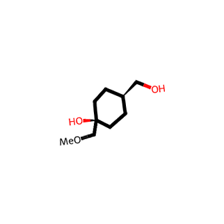 COC[C@]1(O)CC[C@@H](CO)CC1